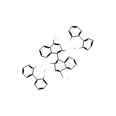 CCCCc1cc(Op2oc3ccccc3c3ccccc3o2)c(-c2c(Op3oc4ccccc4c4ccccc4o3)cc(C(C)CC)c3ccccc23)c2ccccc12